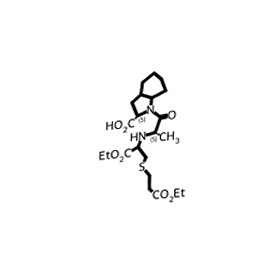 CCOC(=O)CCSCC(N[C@@H](C)C(=O)N1C2CCCCC2C[C@H]1C(=O)O)C(=O)OCC